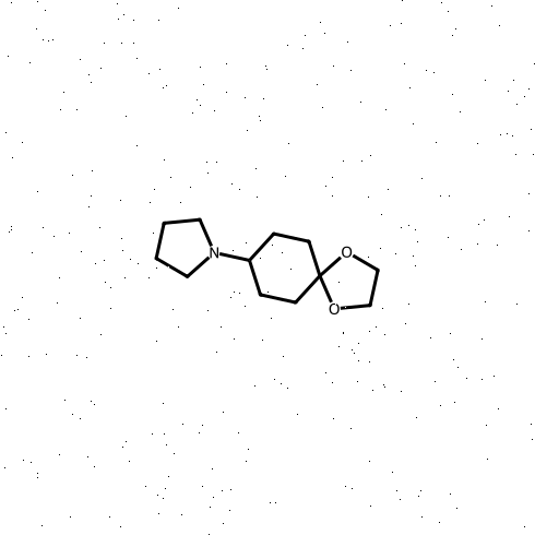 C1CCN(C2CCC3(CC2)OCCO3)C1